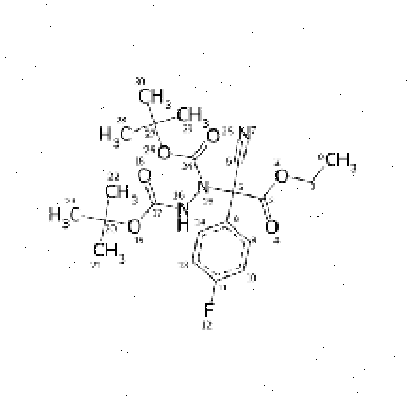 CCOC(=O)C(C#N)(c1ccc(F)cc1)N(NC(=O)OC(C)(C)C)C(=O)OC(C)(C)C